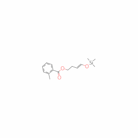 Cc1ccccc1C(=O)OCCC=CO[Si](C)(C)C